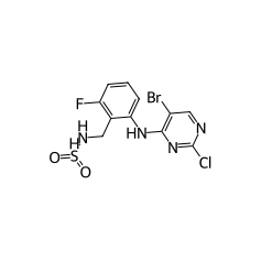 O=[SH](=O)NCc1c(F)cccc1Nc1nc(Cl)ncc1Br